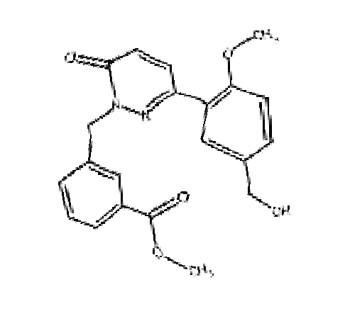 COC(=O)c1cccc(Cn2nc(-c3cc(CO)ccc3OC)ccc2=O)c1